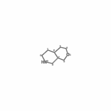 C1CC2CCOCC2CN1